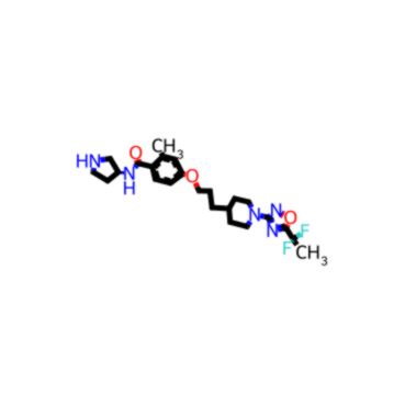 Cc1cc(OCCCC2CCN(c3noc(C(C)(F)F)n3)CC2)ccc1C(=O)N[C@H]1CCNC1